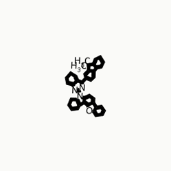 CC1(C)c2ccccc2-c2ccc(-c3nc(-n4c5c(c6c7oc8ccccc8c7ccc64)C=CCC5)nc4c3=CCCC=4)cc21